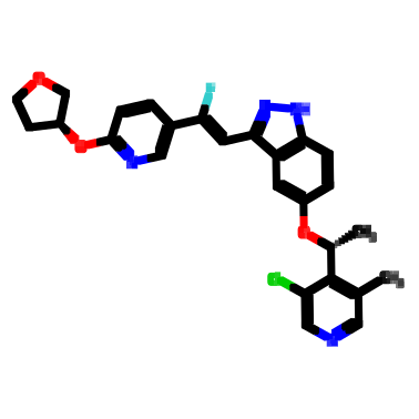 Cc1cncc(Cl)c1[C@@H](C)Oc1ccc2[nH]nc(/C=C(\F)c3ccc(O[C@H]4CCOC4)nc3)c2c1